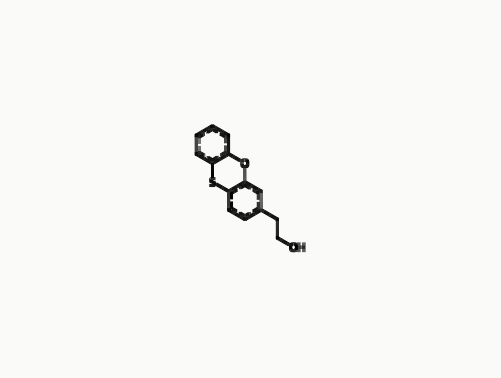 OCCc1ccc2c(c1)Oc1ccccc1S2